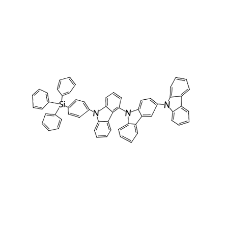 c1ccc([Si](c2ccccc2)(c2ccccc2)c2ccc(-n3c4ccccc4c4c(-n5c6ccccc6c6cc(-n7c8ccccc8c8ccccc87)ccc65)cccc43)cc2)cc1